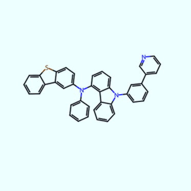 c1ccc(N(c2ccc3sc4ccccc4c3c2)c2cccc3c2c2ccccc2n3-c2cccc(-c3cccnc3)c2)cc1